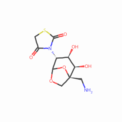 NC[C@@]12COC(O1)[C@H](N1C(=O)CSC1=O)[C@@H](O)[C@H]2O